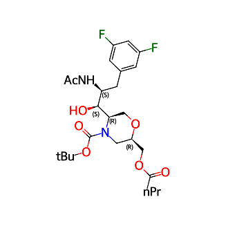 CCCC(=O)OC[C@H]1CN(C(=O)OC(C)(C)C)[C@@H]([C@@H](O)[C@H](Cc2cc(F)cc(F)c2)NC(C)=O)CO1